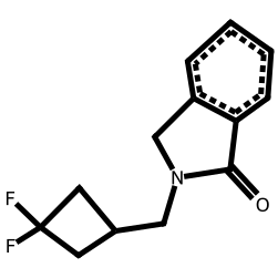 O=C1c2ccccc2CN1CC1CC(F)(F)C1